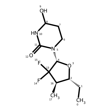 CC[C@H]1O[C@@H](N2CCC(O)NC2=O)C(F)(F)[C@@H]1C